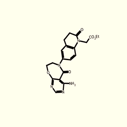 CCOC(=O)CN1C(=O)CCc2cc(N3CCOc4ncnc(N)c4C3=O)ccc21